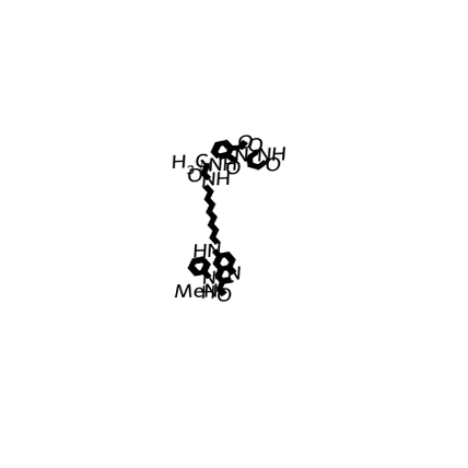 CNC(=O)c1cnc2ccc(NCCCCCCCCCCNC(=O)[C@@H](C)Nc3cccc4c3C(=O)N(C3CCC(=O)NC3=O)C4=O)cc2c1Nc1ccccc1